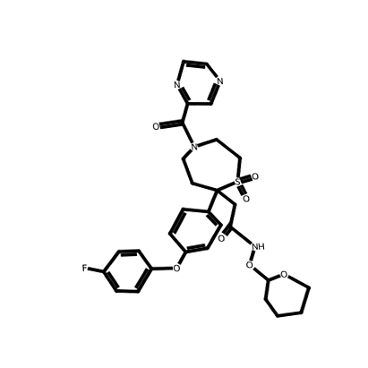 O=C(CC1(c2ccc(Oc3ccc(F)cc3)cc2)CCN(C(=O)c2cnccn2)CCS1(=O)=O)NOC1CCCCO1